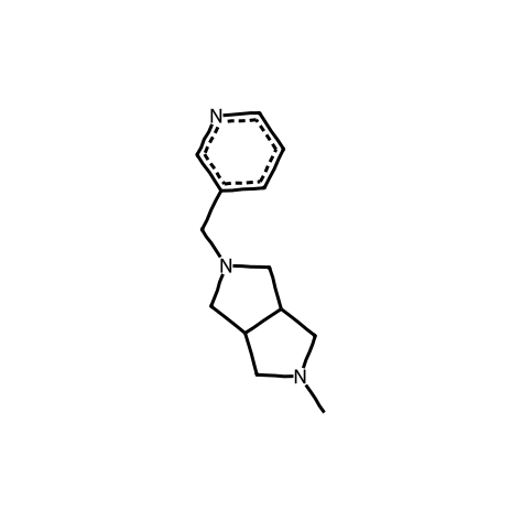 CN1CC2CN(Cc3cccnc3)CC2C1